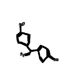 CCC(c1ccc(N=O)cc1)c1ccc(N=O)cc1